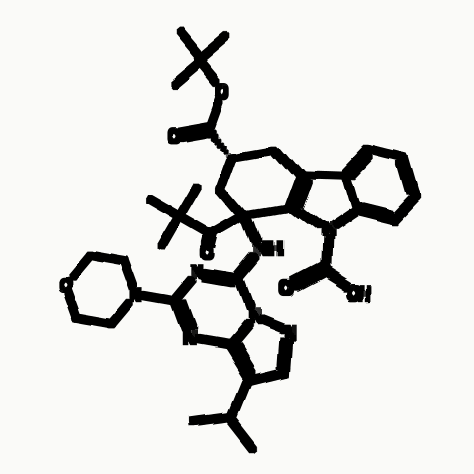 CC(C)c1cnn2c(NC3(C(=O)C(C)(C)C)C[C@H](C(=O)OC(C)(C)C)Cc4c3n(C(=O)O)c3ccccc43)nc(N3CCOCC3)nc12